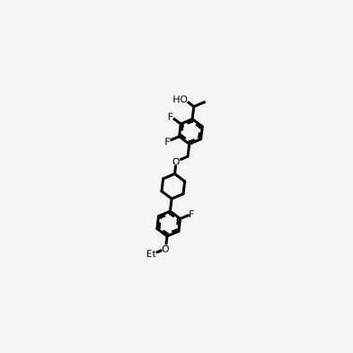 CCOc1ccc(C2CCC(OCc3ccc(C(C)O)c(F)c3F)CC2)c(F)c1